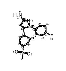 CS(=O)(=O)c1ccc(-c2cc(N)nn2-c2ccc(F)cc2)cc1